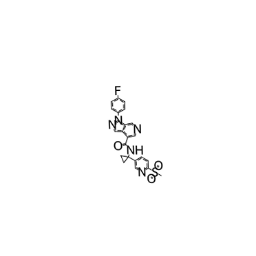 CS(=O)(=O)c1ccc(C2(NC(=O)c3cncc4c3cnn4-c3ccc(F)cc3)CC2)cn1